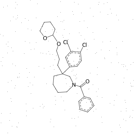 O=C(c1ccccc1)N1CCCCC(CCCOC2CCCCO2)(c2ccc(Cl)c(Cl)c2)C1